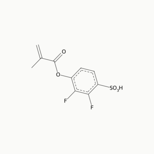 C=C(C)C(=O)Oc1ccc(S(=O)(=O)O)c(F)c1F